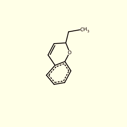 CCC1C=Cc2ccccc2O1